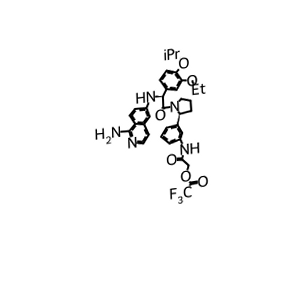 CCOc1cc([C@H](Nc2ccc3c(N)nccc3c2)C(=O)N2CCC[C@H]2c2cccc(NC(=O)COC(=O)C(F)(F)F)c2)ccc1OC(C)C